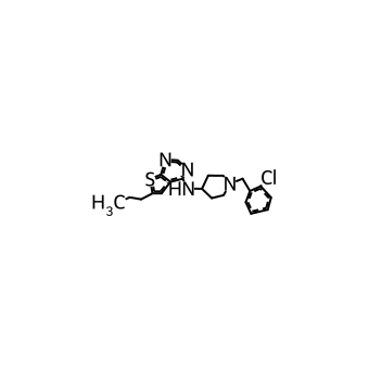 CCCc1cc2c(NC3CCN(Cc4ccccc4Cl)CC3)ncnc2s1